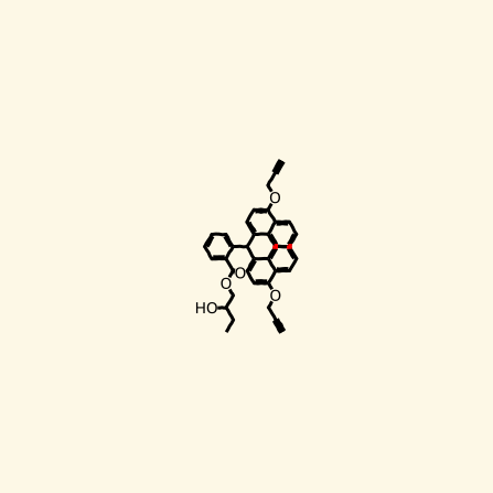 C#CCOc1ccc(C(c2ccccc2C(=O)OCC(O)CC)c2ccc(OCC#C)c3ccccc23)c2ccccc12